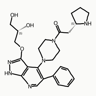 O=C(C[C@@H]1CCCN1)N1CCN(c2c(-c3ccccc3)cnc3[nH]nc(OC[C@@H](O)CO)c23)CC1